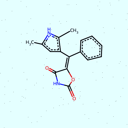 Cc1cc(C(=C2OC(=O)NC2=O)c2ccccc2)c(C)[nH]1